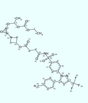 CCOC(=O)OC(C)On1on1N1CC(OC(=O)CCC(=O)NS(=O)(=O)c2ccc(-n3nc(C(F)(F)F)cc3-c3ccc(C)cc3)cc2)C1